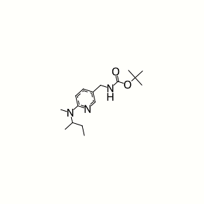 CCC(C)N(C)c1ccc(CNC(=O)OC(C)(C)C)cn1